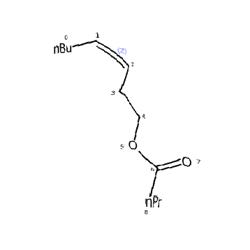 CCCC/C=C\CCOC(=O)CCC